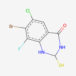 O=C1NC(S)Nc2c1cc(Cl)c(Br)c2F